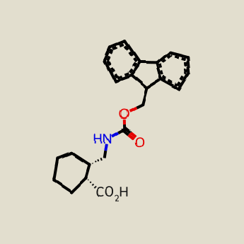 O=C(NC[C@H]1CCCC[C@H]1C(=O)O)OCC1c2ccccc2-c2ccccc21